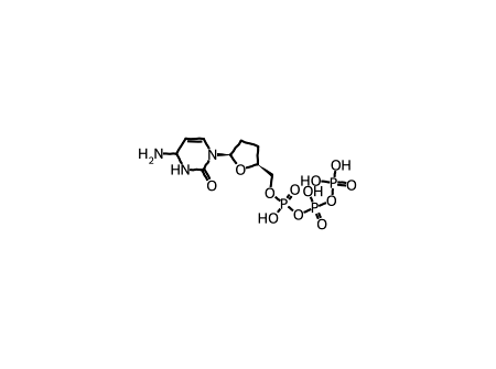 NC1C=CN([C@H]2CC[C@@H](COP(=O)(O)OP(=O)(O)OP(=O)(O)O)O2)C(=O)N1